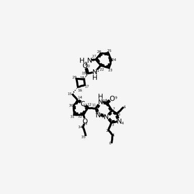 CCCc1nc(C)c2c(=O)[nH]c(-c3cc(C[C@H]4C[C@@H](C(=O)Nc5ccccc5N)C4)ccc3OCC)nn12